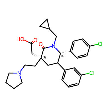 O=C(O)C[C@@]1(CCN2CCCC2)CC(c2cccc(Cl)c2)[C@@H](c2ccc(Cl)cc2)N(CC2CC2)C1=O